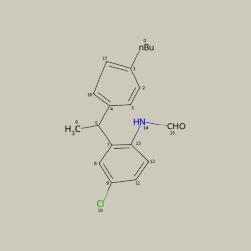 CCCCc1ccc(C(C)c2cc(Cl)ccc2NC=O)cc1